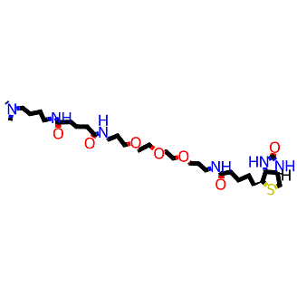 CN(C)CCCCNC(=O)CCCC(=O)NCCCOCCOCCOCCCNC(=O)CCCC[C@@H]1SC[C@@H]2NC(=O)NC21